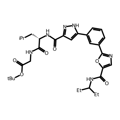 CCC(CC)NC(=O)c1cnc(-c2cccc(-c3cc(C(=O)N[C@@H](CC(C)C)C(=O)NCC(=O)OC(C)(C)C)n[nH]3)c2)o1